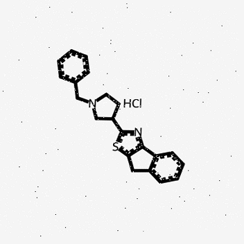 Cl.c1ccc(CN2CCC(c3nc4c(s3)Cc3ccccc3-4)C2)cc1